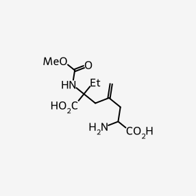 C=C(CC(N)C(=O)O)CC(CC)(NC(=O)OC)C(=O)O